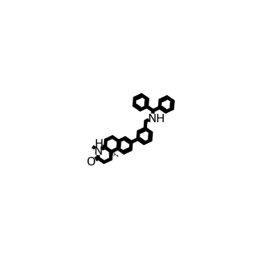 CN1C(=O)CC[C@]2(C)c3ccc(-c4cccc(CNC(c5ccccc5)c5ccccc5)c4)cc3CC[C@@H]12